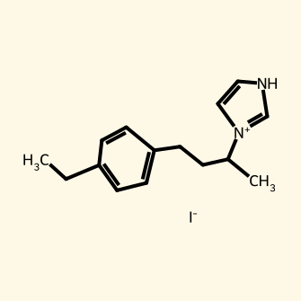 CCc1ccc(CCC(C)[n+]2cc[nH]c2)cc1.[I-]